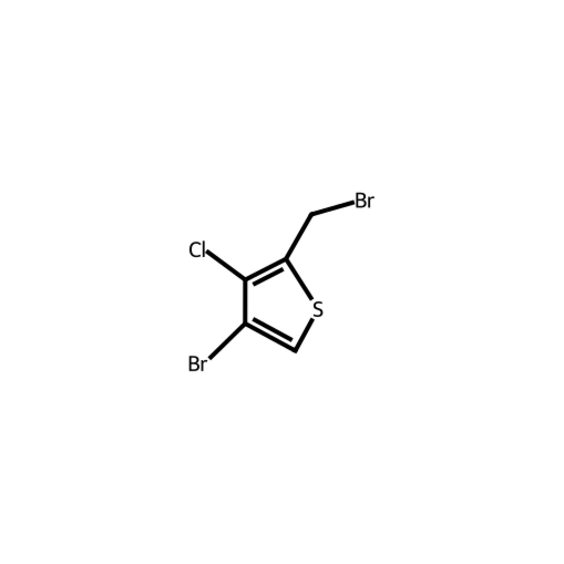 Clc1c(Br)csc1CBr